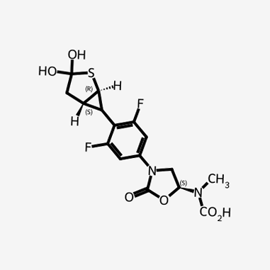 CN(C(=O)O)[C@@H]1CN(c2cc(F)c(C3[C@@H]4CC(O)(O)S[C@@H]34)c(F)c2)C(=O)O1